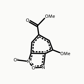 COC(=O)c1cc(OC)c2no[n+]([O-])c2c1